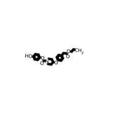 C=CCOC(=O)Cc1ccc(OC2CCN(C(=O)Oc3ccc(O)cc3)CC2)cc1